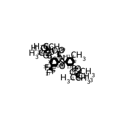 Cc1cc(B2OC(C)(C)C(C)(C)O2)cc(S(=O)(=NCC(=O)O)c2cc(B3OC(C)(C)C(C)(C)O3)cc(C(F)(F)F)c2)c1